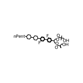 C=C(CO)C(=O)OCC(COC(=O)C(C)(C)CO)c1ccc(-c2ccc(C3CCC(C4CCC(CCCCC)CC4)CC3)c(F)c2)c(F)c1